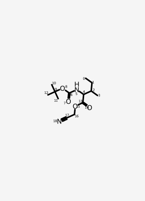 CCC(C)C(NC(=O)OC(C)(C)C)C(=O)OCC#N